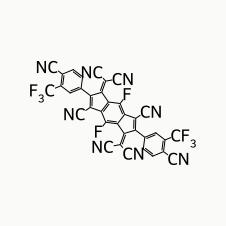 N#CC(C#N)=C1C(c2ccc(C#N)c(C(F)(F)F)c2)=C(C#N)c2c(F)c3c(c(F)c21)C(C#N)=C(c1ccc(C#N)c(C(F)(F)F)c1)C3=C(C#N)C#N